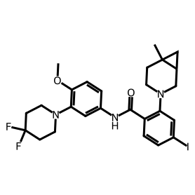 COc1ccc(NC(=O)c2ccc(I)cc2N2CCC3(C)CC3C2)cc1N1CCC(F)(F)CC1